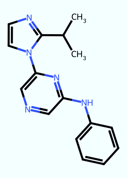 CC(C)c1nccn1-c1cncc(Nc2ccccc2)n1